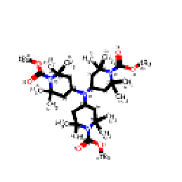 CC(C)(C)OC(=O)N1C(C)(C)CC(N(C2CC(C)(C)N(C(=O)OC(C)(C)C)C(C)(C)C2)C2CC(C)(C)N(C(=O)OC(C)(C)C)C(C)(C)C2)CC1(C)C